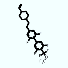 C=CC1CCC(CCc2cc(F)c(-c3cc(F)c(C(F)(F)OC(F)(F)F)c(F)c3)c(F)c2)CC1